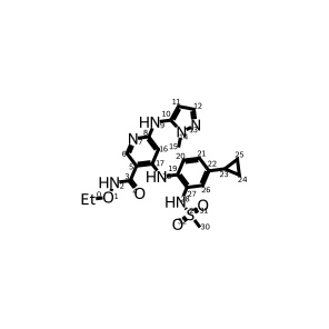 CCONC(=O)c1cnc(Nc2ccnn2C)cc1Nc1ccc(C2CC2)cc1NS(C)(=O)=O